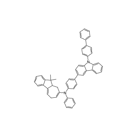 CC1(C)c2ccccc2C2=CCC=C(N(c3ccccc3)c3ccc(-c4ccc5c(c4)c4ccccc4n5-c4ccc(-c5ccccc5)cc4)cc3)CC21